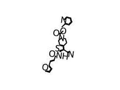 N#Cc1c(NC(=O)C=Cc2ccco2)sc2c1CCN(C(=O)OCc1ccccn1)C2